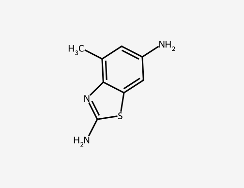 Cc1cc(N)cc2sc(N)nc12